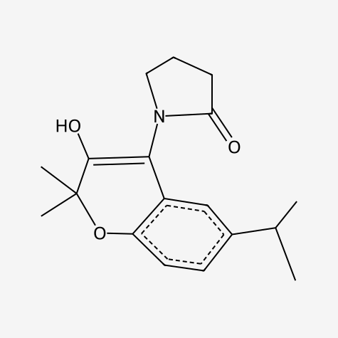 CC(C)c1ccc2c(c1)C(N1CCCC1=O)=C(O)C(C)(C)O2